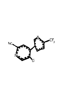 N#Cc1cc(-c2ccc(C(F)(F)F)nc2)c(Cl)cn1